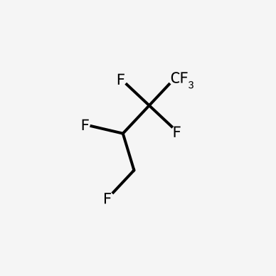 FCC(F)C(F)(F)C(F)(F)F